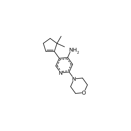 CC1(C)CCC=C1c1cnc(N2CCOCC2)cc1N